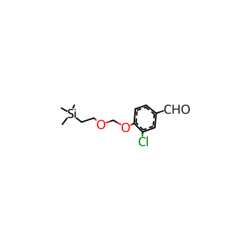 C[Si](C)(C)CCOCOc1ccc(C=O)cc1Cl